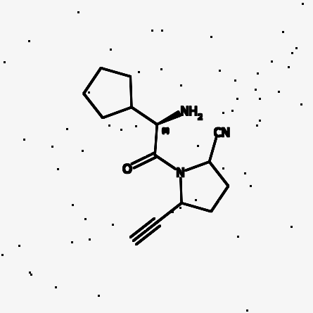 C#CC1CCC(C#N)N1C(=O)[C@H](N)C1CCCC1